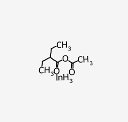 CCC(CC)C(=O)OC(C)=O.[InH3]